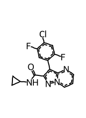 O=C(NC1CC1)c1nn2cccnc2c1-c1cc(F)c(Cl)cc1F